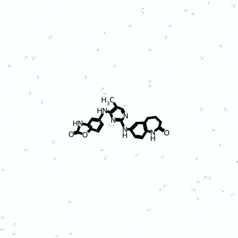 Cc1cnc(Nc2ccc3c(c2)CCCC(=O)N3)nc1Nc1ccc2oc(=O)[nH]c2c1